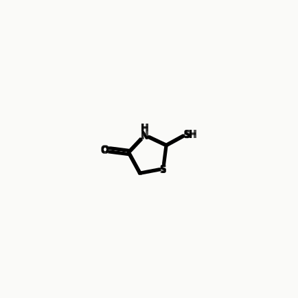 O=C1CSC(S)N1